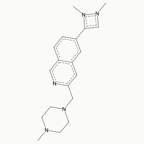 CN1CCN(Cc2cc3cc(-c4cn(C)n4C)ccc3cn2)CC1